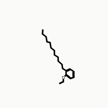 CCCCCCCCCCCCc1ccccc1OCC